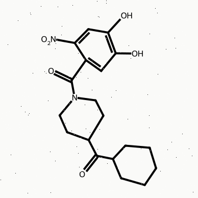 O=C(C1CCCCC1)C1CCN(C(=O)c2cc(O)c(O)cc2[N+](=O)[O-])CC1